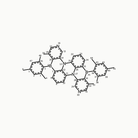 Cc1cc(C)c(B2c3cccc4c3N(c3cncc(C)c32)c2cccc3c2N4c2cncc(C)c2B3c2c(C)cc(C)cc2C)c(C)c1